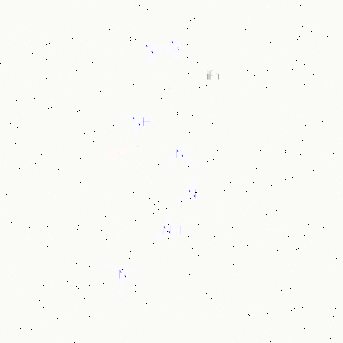 CC(C)c1nnc(-c2ccccc2NC(=O)c2cc(NCCN(C)C)nc(-c3ccccc3)n2)s1